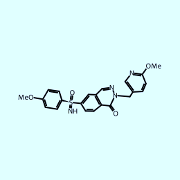 COc1ccc([S@@](=N)(=O)c2ccc3c(=O)n(Cc4ccc(OC)nc4)ncc3c2)cc1